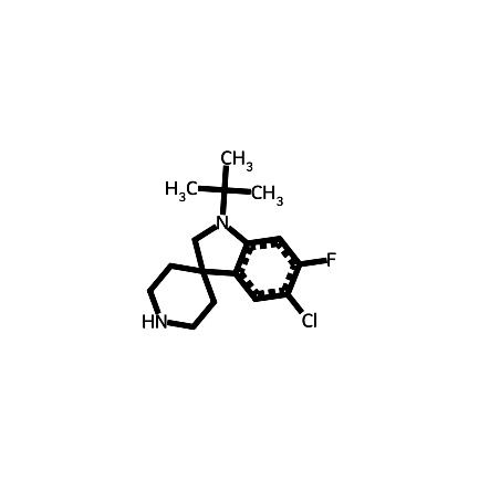 CC(C)(C)N1CC2(CCNCC2)c2cc(Cl)c(F)cc21